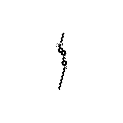 CCCCCCCCCCCCOc1ccc(COc2ccc3cc(C(=O)OCCCCCC)ccc3c2)cc1